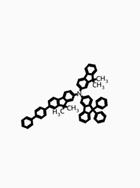 CC1(C)c2ccccc2-c2ccc(N(c3ccc4c(c3)-c3ccccc3C4(c3ccccc3)c3ccccc3)c3ccc4c(c3)C(C)(C)c3cc(-c5ccc(-c6ccccc6)cc5)ccc3-4)cc21